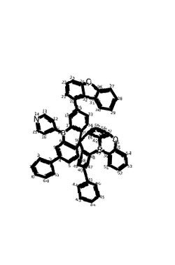 c1ccc(-c2ccc3c(c2)B(c2ccncc2)c2cc(-c4cccc5oc6ccccc6c45)ccc2C32c3ccc(-c4ccccc4)cc3B3c4ccccc4Oc4cccc2c43)cc1